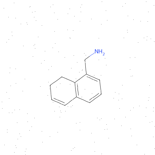 NCc1cccc2c1CCC=C2